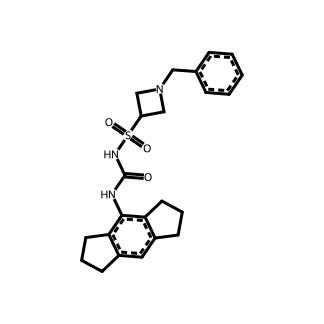 O=C(Nc1c2c(cc3c1CCC3)CCC2)NS(=O)(=O)C1CN(Cc2ccccc2)C1